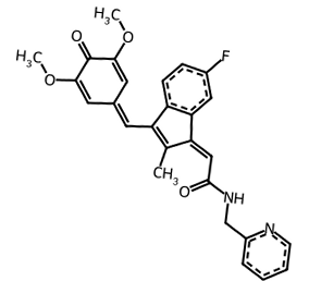 COC1=CC(=CC2=C(C)C(=CC(=O)NCc3ccccn3)c3cc(F)ccc32)C=C(OC)C1=O